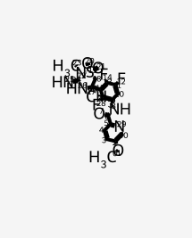 COc1ccc(C(=O)Nc2cc(F)c(F)c([C@]3(C)CS(=O)(=O)N(C)C(=N)N3)c2F)nc1